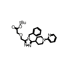 CC(C)(C)OC(=O)COCc1nnc(C2CCN(c3ccccn3)CC2)n1Cc1ccccc1